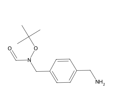 CC(C)(C)ON(C=O)Cc1ccc(CN)cc1